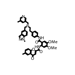 COc1cc(NC(=O)c2cc(=O)c3cc(C)ccc3o2)c(C(=O)Nc2ccc(CCN(Cc3cncc(C)c3)Cc3ccc4c(cnn4C)c3)cc2)cc1OC